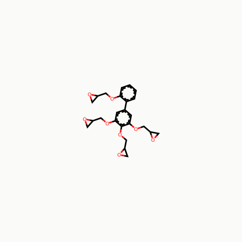 c1ccc(-c2cc(OCC3CO3)c(OCC3CO3)c(OCC3CO3)c2)c(OCC2CO2)c1